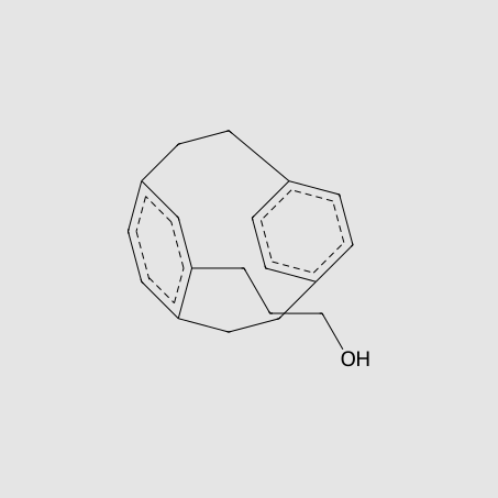 OCCCc1cc2ccc1CCc1ccc(cc1)CC2